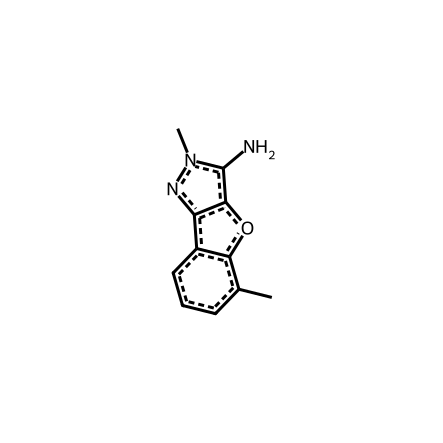 Cc1cccc2c1oc1c(N)n(C)nc12